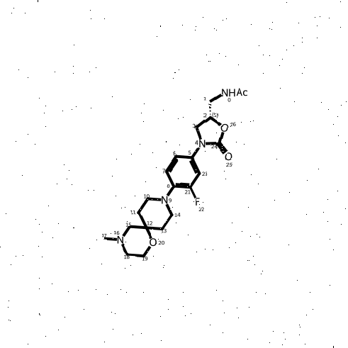 CC(=O)NC[C@H]1CN(c2ccc(N3CCC4(CC3)CN(C)CCO4)c(F)c2)C(=O)O1